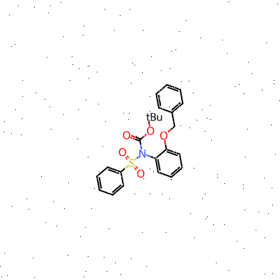 CC(C)(C)OC(=O)N(c1c[c]ccc1OCc1ccccc1)S(=O)(=O)c1ccccc1